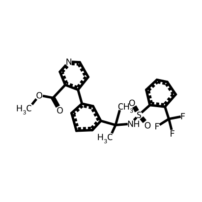 COC(=O)c1cnccc1-c1cccc(C(C)(C)NS(=O)(=O)c2ccccc2C(F)(F)F)c1